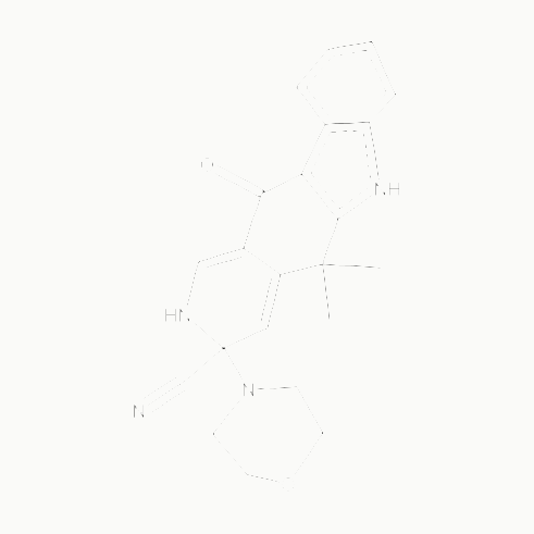 CC1(C)C2=CC(C#N)(N3CCOCC3)NC=C2C(=O)c2c1[nH]c1ccccc21